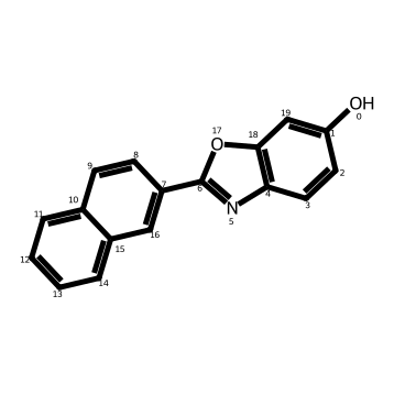 Oc1ccc2nc(-c3ccc4ccccc4c3)oc2c1